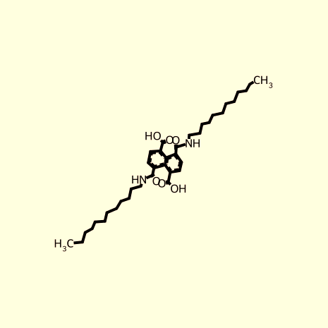 CCCCCCCCCCCCNC(=O)c1ccc(C(=O)O)c2c(C(=O)NCCCCCCCCCCCC)ccc(C(=O)O)c12